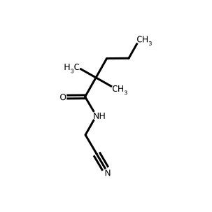 CCCC(C)(C)C(=O)NCC#N